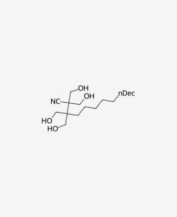 CCCCCCCCCCCCCCCC(CO)(CO)C(C#N)(CO)CO